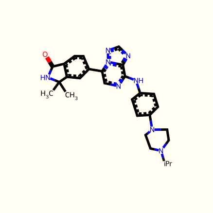 CC(C)N1CCN(c2ccc(Nc3ncc(-c4ccc5c(c4)C(C)(C)NC5=O)n4ncnc34)cc2)CC1